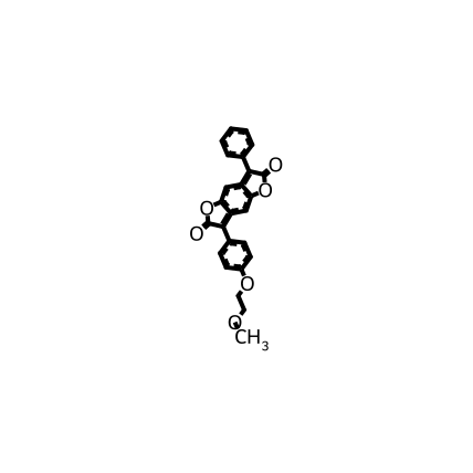 COCCOc1ccc(C2=c3cc4c(cc3OC2=O)=C(c2ccccc2)C(=O)O4)cc1